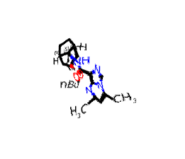 CCCCO[C@@H]1C[C@H]2CC[C@@H](C1)[C@@H]2NC(=O)c1ncn2c(C)cc(C)nc12